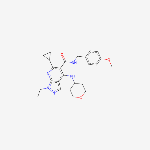 CCn1ncc2c(NC3CCOCC3)c(C(=O)NCc3ccc(OC)cc3)c(C3CC3)nc21